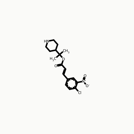 CC(C)(OC(=O)/C=C/c1ccc(Cl)c([N+](=O)[O-])c1)C1CCNCC1